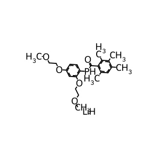 COCCOc1ccc(PC(=O)c2c(C)cc(C)c(C)c2C)c(OCCOC)c1.[LiH]